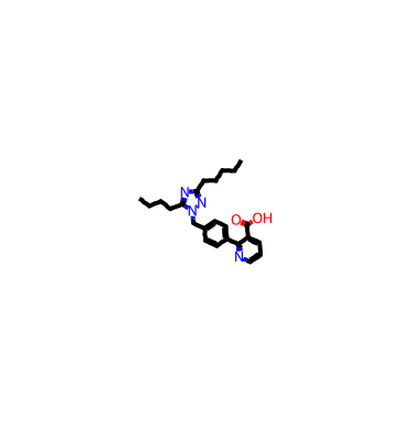 CCCCCc1nc(CCCC)n(Cc2ccc(-c3ncccc3C(=O)O)cc2)n1